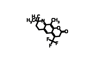 Cc1c2c(cc3c1=NC(C)(C)CC3)=C(C(F)(F)F)CC(=O)O2